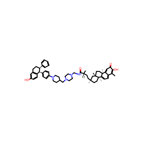 CC[C@@](C)(CC[C@]1(C)CC[C@]2(C)C3=CC=C4C(=CC(=O)C(O)=C4C)[C@]3(C)CC[C@@]2(C)C1)C(=O)NCN1CCN(CC2CCN(c3ccc([C@H]4c5ccc(O)cc5CC[C@H]4c4ccccc4)cc3)CC2)CC1